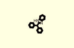 c1ccc(C(c2ccccc2)c2nc3ccccc3[nH]2)cc1